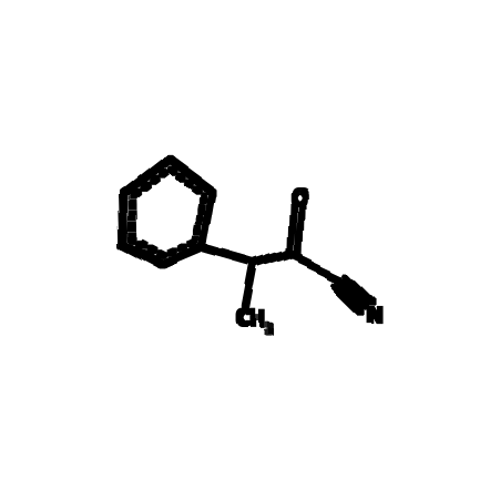 CC(C(=O)C#N)c1ccccc1